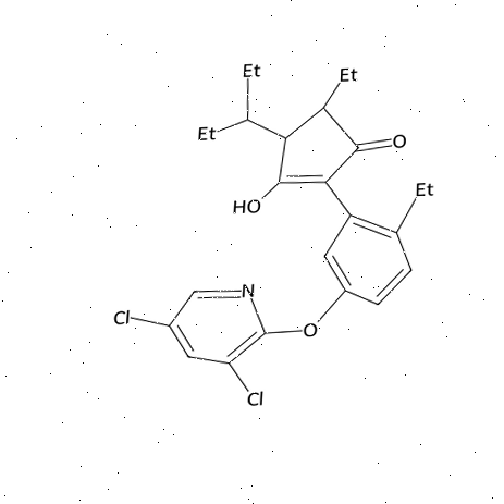 CCc1ccc(Oc2ncc(Cl)cc2Cl)cc1C1=C(O)C(C(CC)CC)C(CC)C1=O